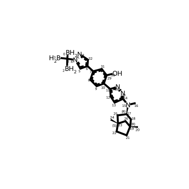 BC(B)(B)n1cc(-c2ccc(-c3ccc(N(C)[C@H]4C[C@]5(C)CC[C@](C)(C4)C5)nn3)c(O)c2)cn1